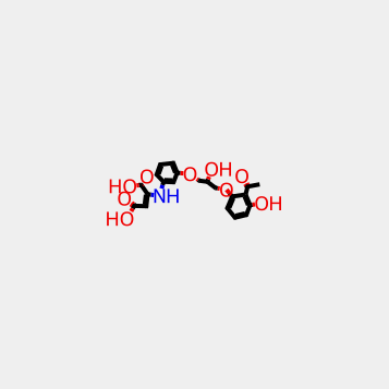 CC(=O)c1c(O)cccc1OCC(O)COc1cccc(NC(=CC(=O)O)C(=O)O)c1